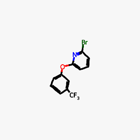 FC(F)(F)c1cccc(Oc2cccc(Br)n2)c1